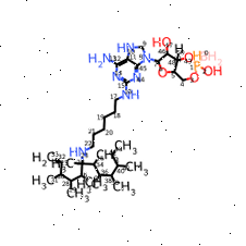 B[PH]1(O)OCC2OC(N3CNc4c(N)nc(NCCCCCCNC(C)(C(C)C(C)C(C)C=C)C(C)C(C)C(C)C(C)CC)nc43)C(O)[C@@H]2O1